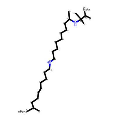 CCCCCC(C)CCCCCCCCNCCCCCCCCC(C)NC(C)(C)C(C)NC